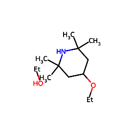 CCO.CCOC1CC(C)(C)NC(C)(C)C1